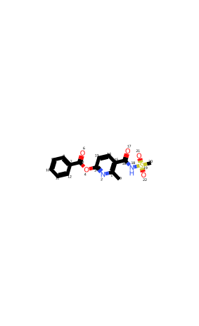 Cc1nc(OC(=O)c2ccccc2)ccc1C(=O)NS(C)(=O)=O